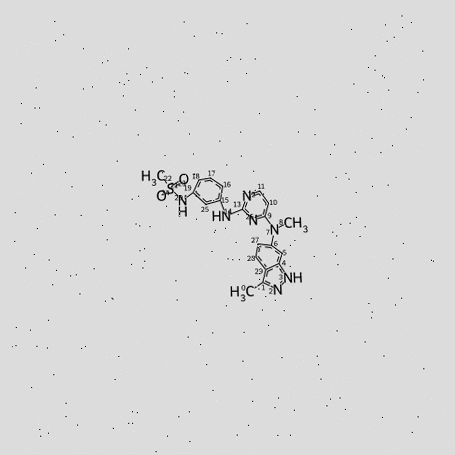 Cc1n[nH]c2cc(N(C)c3ccnc(Nc4cccc(NS(C)(=O)=O)c4)n3)ccc12